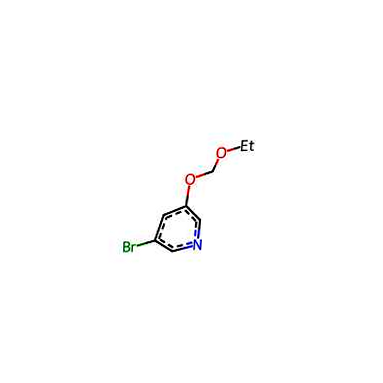 CCOCOc1cncc(Br)c1